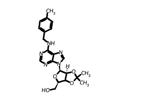 Cc1ccc(CNc2ncnc3c2ncn3[C@@H]2O[C@H](CO)C3OC(C)(C)O[C@@H]32)cc1